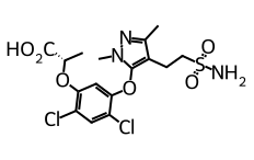 Cc1nn(C)c(Oc2cc(O[C@@H](C)C(=O)O)c(Cl)cc2Cl)c1CCS(N)(=O)=O